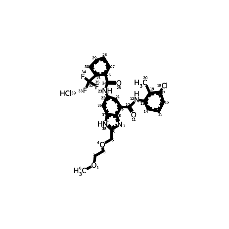 COCCOCc1nc2c(C(=O)Nc3cccc(Cl)c3C)cc(NC(=O)c3ccccc3C(F)(F)F)cc2[nH]1.Cl